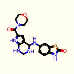 O=C(c1cc2c([nH]1)NCNC2Nc1ccc2[nH]c(=O)sc2c1)N1CCOCC1